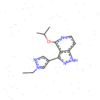 CCn1cc(-c2n[nH]c3ccnc(OC(C)C)c23)cn1